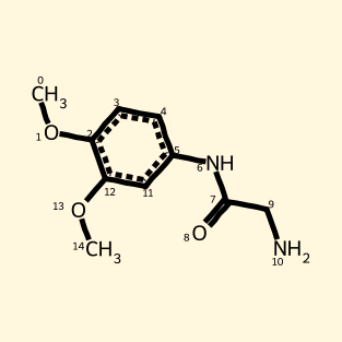 COc1ccc(NC(=O)CN)cc1OC